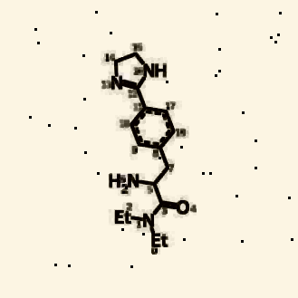 CCN(CC)C(=O)C(N)Cc1ccc(C2=NCCN2)cc1